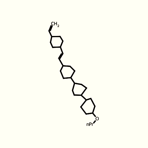 C=CC1CCC(/C=C/C2CCC(C3CCC(C4CCC(OCCC)CC4)CC3)CC2)CC1